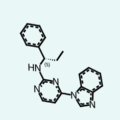 CC[C@H](Nc1nccc(-n2cnc3ccccc32)n1)c1ccccc1